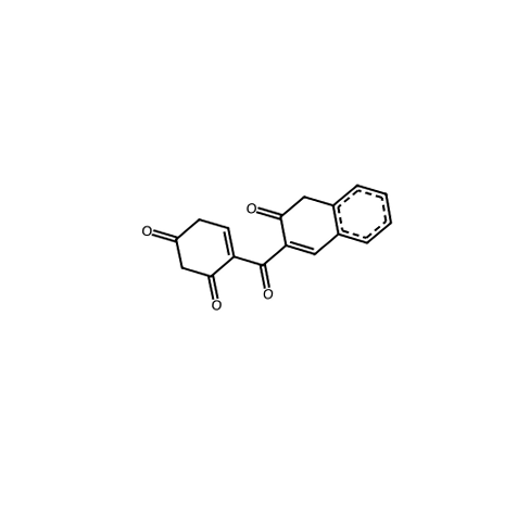 O=C1CC=C(C(=O)C2=Cc3ccccc3CC2=O)C(=O)C1